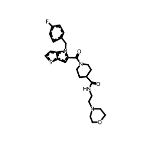 O=C(NCCN1CCOCC1)C1CCN(C(=O)c2cc3sccc3n2Cc2ccc(F)cc2)CC1